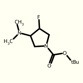 CN(C)C1CN(C(=O)OC(C)(C)C)CC1F